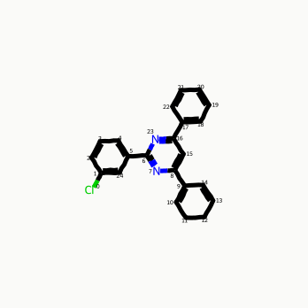 Clc1cccc(-c2nc(C3=CCCC=C3)cc(-c3ccccc3)n2)c1